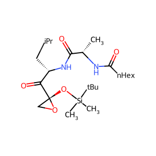 CCCCCCC(=O)N[C@@H](C)C(=O)N[C@@H](CC(C)C)C(=O)[C@@]1(O[Si](C)(C)C(C)(C)C)CO1